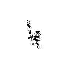 COCCOCCOC(C)O[C@@H]1[C@H]2OC(C)(C)O[C@H]2O[C@@H]1C(O)CO